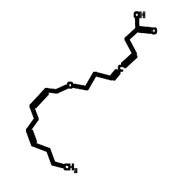 CCC/C=C\C/C=C\COCCC=C=CCC(=O)O